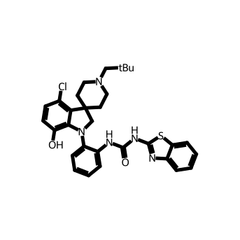 CC(C)(C)CN1CCC2(CC1)CN(c1ccccc1NC(=O)Nc1nc3ccccc3s1)c1c(O)ccc(Cl)c12